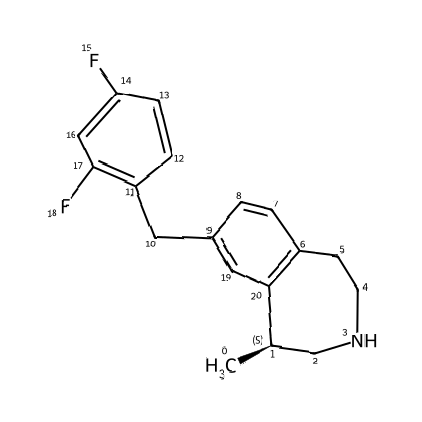 C[C@@H]1CNCCc2ccc(Cc3ccc(F)cc3F)cc21